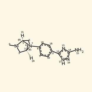 CN1C[C@H]2C[C@@H]1CN2c1ccc(-c2nc(N)n[nH]2)cc1